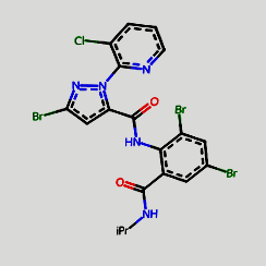 CC(C)NC(=O)c1cc(Br)cc(Br)c1NC(=O)c1cc(Br)nn1-c1ncccc1Cl